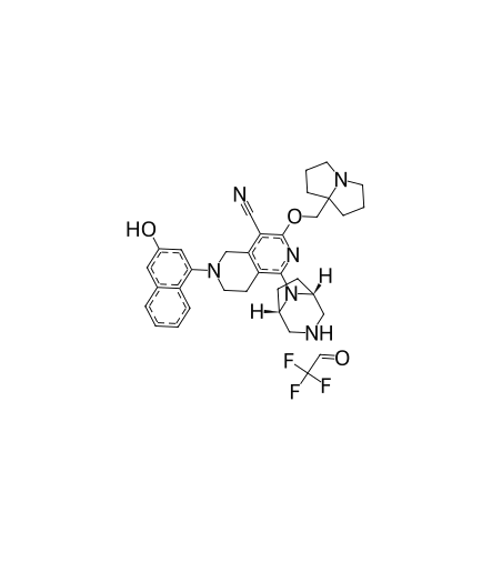 N#Cc1c(OCC23CCCN2CCC3)nc(N2[C@@H]3CC[C@H]2CNC3)c2c1CN(c1cc(O)cc3ccccc13)CC2.O=CC(F)(F)F